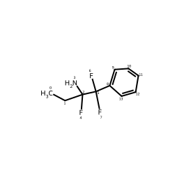 CCC(N)(F)C(F)(F)c1ccccc1